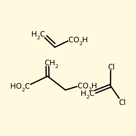 C=C(CC(=O)O)C(=O)O.C=C(Cl)Cl.C=CC(=O)O